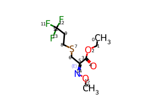 CCOC(=O)/C(CSCCC(F)(F)F)=N\OC